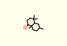 CC1CCC2(C)C(=O)CCC(C)(C)C2C1